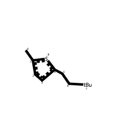 Cc1ccc(CCC(C)(C)C)s1